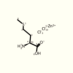 CSCC[C@H](N)C(=O)O.[Cl-].[Cl-].[Zn+2]